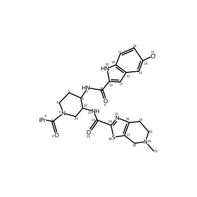 CC(C)C(=O)N1CCC(NC(=O)c2cc3cc(Cl)ccc3[nH]2)C(NC(=O)c2nc3c(s2)CN(C)CC3)C1